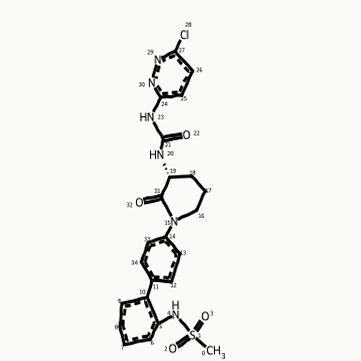 CS(=O)(=O)Nc1ccccc1-c1ccc(N2CCC[C@@H](NC(=O)Nc3ccc(Cl)nn3)C2=O)cc1